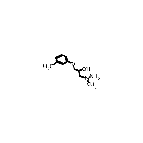 Cc1cccc(OCC(O)CN(C)N)c1